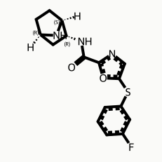 O=C(N[C@@H]1C[C@H]2CC[C@@H]1N2)c1ncc(Sc2cccc(F)c2)o1